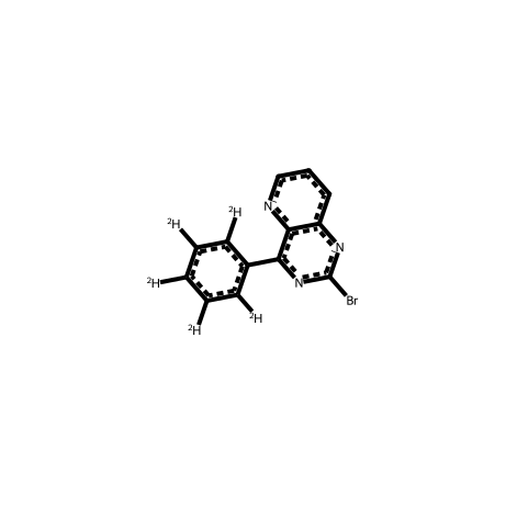 [2H]c1c([2H])c([2H])c(-c2nc(Br)nc3cccnc23)c([2H])c1[2H]